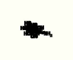 NCCNCCNC(CC(O)CO)(CC(O)CO)C(CC(O)CO)(CC(O)CO)N(CC(O)CO)CC(O)CO